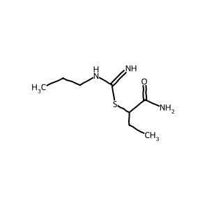 CCCNC(=N)SC(CC)C(N)=O